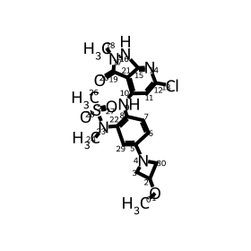 COC1CN(c2ccc(Nc3cc(Cl)nc4[nH]n(C)c(=O)c34)c(N(C)S(C)(=O)=O)c2)C1